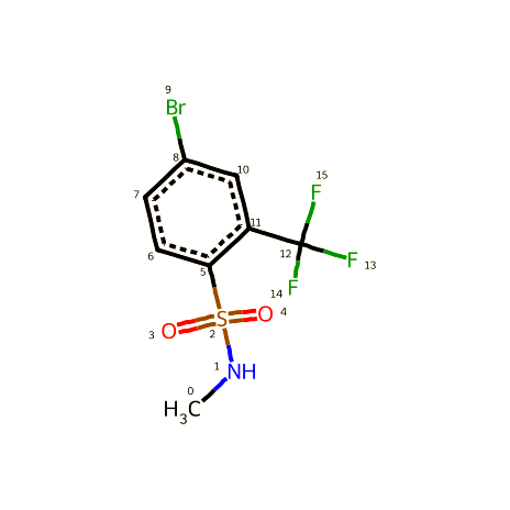 CNS(=O)(=O)c1ccc(Br)cc1C(F)(F)F